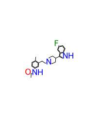 CC(=O)Nc1ccc(C)c(CCN2CCC(c3c[nH]c4ccc(F)cc34)CC2)c1